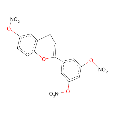 O=[N+]([O-])Oc1cc(O[N+](=O)[O-])cc(C2=CCc3cc(O[N+](=O)[O-])ccc3O2)c1